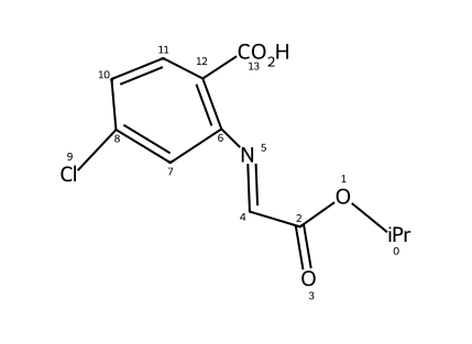 CC(C)OC(=O)C=Nc1cc(Cl)ccc1C(=O)O